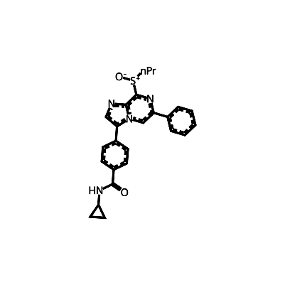 CCC[S+]([O-])c1nc(-c2ccccc2)cn2c(-c3ccc(C(=O)NC4CC4)cc3)cnc12